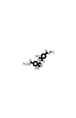 COC(=O)C1CCC(C(=O)O)(C(=O)OC(=O)C2(C(=O)O)CCC(C(=O)OC)CC2)CC1